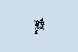 C=C(C)CCOC(=O)N1CCc2c(F)ccc(-c3cc(CC(=O)O)ccc3OCC)c2C1